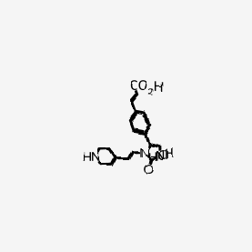 Cl.O=C(O)C=Cc1ccc(C2CNC(=O)N2CCC2CCNCC2)cc1